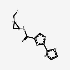 O=C(N[C@@H]1C[C@H]1CF)c1csc(-c2ncc[nH]2)n1